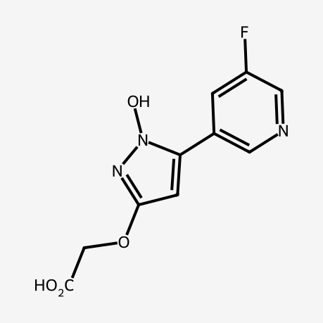 O=C(O)COc1cc(-c2cncc(F)c2)n(O)n1